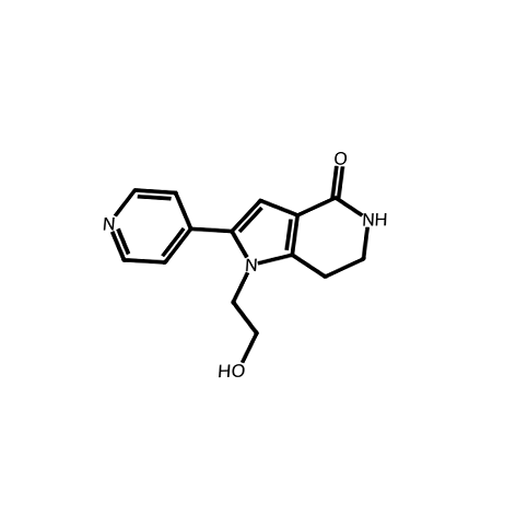 O=C1NCCc2c1cc(-c1ccncc1)n2CCO